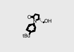 CC(C)(C)c1ccc(N2C(=O)CC[C@@H]2CO)cc1